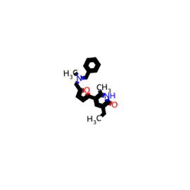 CCc1cc(-c2ccc(CN(C)Cc3ccccc3)o2)c(C)[nH]c1=O